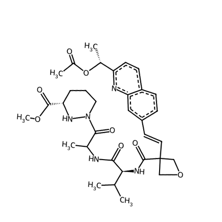 COC(=O)[C@@H]1CCCN(C(=O)C(C)NC(=O)[C@@H](NC(=O)C2(/C=C/c3ccc4ccc([C@@H](C)OC(C)=O)nc4c3)COC2)C(C)C)N1